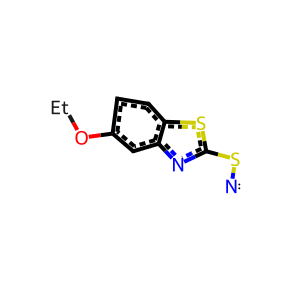 CCOc1ccc2sc(S[N])nc2c1